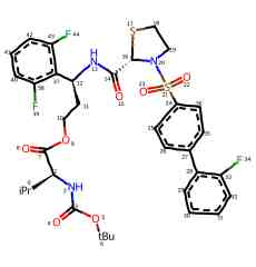 CC(C)[C@H](NC(=O)OC(C)(C)C)C(=O)OCC[C@H](NC(=O)[C@@H]1SCCN1S(=O)(=O)c1ccc(-c2ccccc2F)cc1)c1c(F)cccc1F